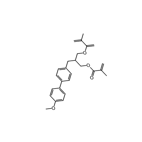 C=C(C)C(=C)OCC(COC(=O)C(=C)C)Cc1ccc(-c2ccc(OC)cc2)cc1